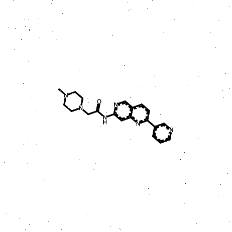 CN1CCN(CC(=O)Nc2cc3nc(-c4cccnc4)ccc3cn2)CC1